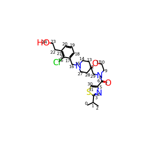 CC(C)c1nc(C(=O)N2CCOC3(CCN(Cc4cccc(CCO)c4Cl)CC3)C2)cs1